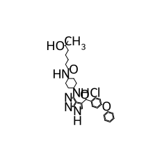 CC(O)CCCCC(=O)N[C@H]1CC[C@@H](Nc2ncnc3[nH]cc(C(=O)c4ccc(Oc5ccccc5)cc4Cl)c23)CC1